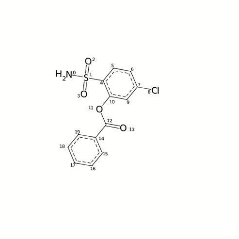 NS(=O)(=O)c1ccc(Cl)cc1OC(=O)c1ccccc1